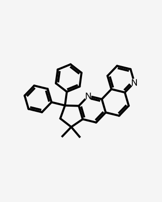 CC1(C)CC(c2ccccc2)(c2ccccc2)c2nc3c(ccc4ncccc43)cc21